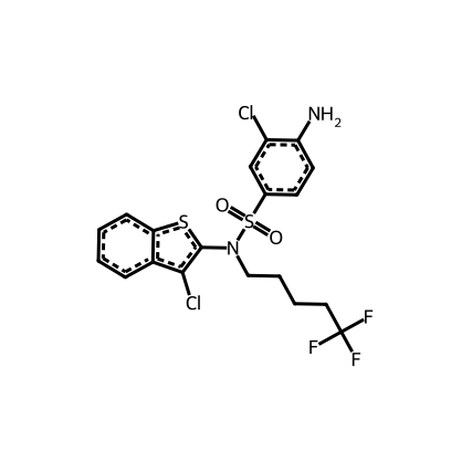 Nc1ccc(S(=O)(=O)N(CCCCC(F)(F)F)c2sc3ccccc3c2Cl)cc1Cl